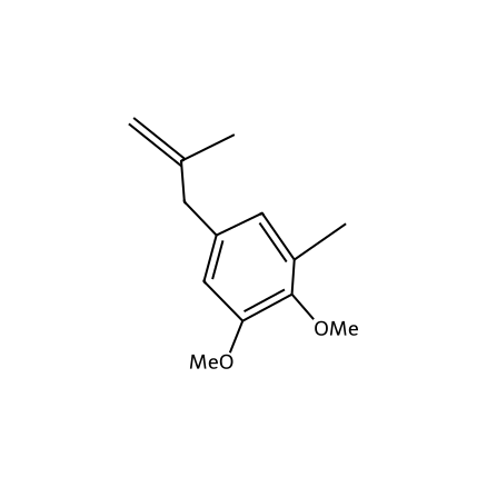 C=C(C)Cc1cc(C)c(OC)c(OC)c1